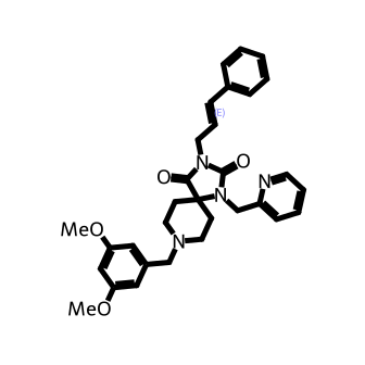 COc1cc(CN2CCC3(CC2)C(=O)N(C/C=C/c2ccccc2)C(=O)N3Cc2ccccn2)cc(OC)c1